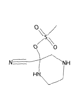 CS(=O)(=O)OC1(C#N)CNCCN1